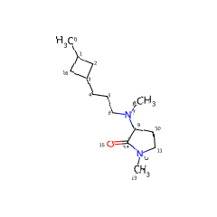 CC1CC(CCCN(C)C2CCN(C)C2=O)C1